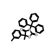 Cc1cccc(C2(C)OC(=O)N(C(c3ccccc3)(c3ccccc3)c3ccccc3)C2=O)c1